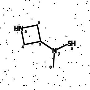 CN(S)C1CNC1